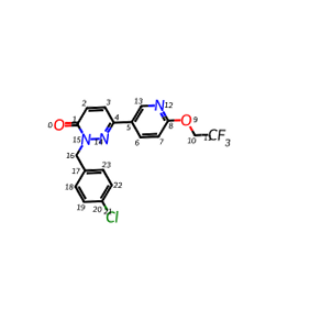 O=c1ccc(-c2ccc(OCC(F)(F)F)nc2)nn1Cc1ccc(Cl)cc1